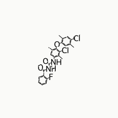 Cc1cc(Oc2c(C)cc(NC(=O)NC(=O)c3ccccc3F)c(C)c2Cl)c(C)cc1Cl